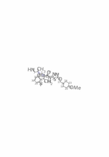 C=C(/C(=C\C=C(/C)C=N)C(=O)Nc1nnc(OCC2CCC(OC)CC2)s1)c1c(F)cccc1OC